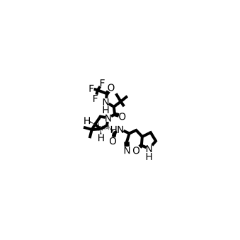 CC(C)(C)C(NC(=O)C(F)(F)F)C(=O)N1C[C@H]2[C@@H]([C@H]1C(=O)NC(C#N)CC1CCNC1=O)C2(C)C